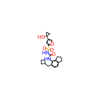 O=C(Nc1c(CC2CCC2)ccc2c1CCC2)NS(=O)(=O)c1cc(C2(O)CC2)co1